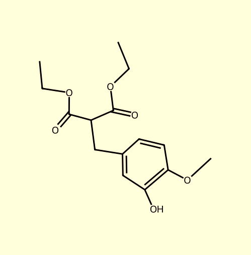 CCOC(=O)C(Cc1ccc(OC)c(O)c1)C(=O)OCC